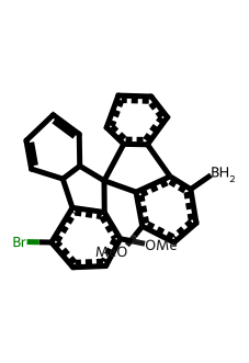 Bc1ccc(OC)c2c1-c1ccccc1C21c2c(OC)ccc(Br)c2C2C=CC=CC21